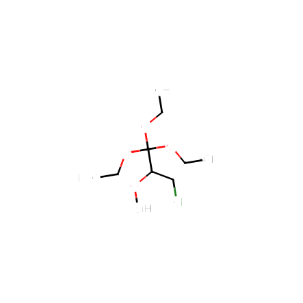 CCOC(OCC)(OCC)C(CCl)O[SiH3]